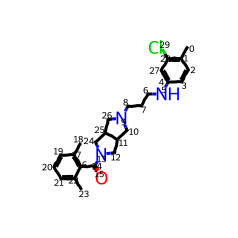 Cc1ccc(NCCCN2CC3CN(C(=O)c4c(C)cccc4C)CC3C2)cc1Cl